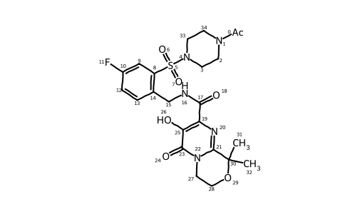 CC(=O)N1CCN(S(=O)(=O)c2cc(F)ccc2CNC(=O)c2nc3n(c(=O)c2O)CCOC3(C)C)CC1